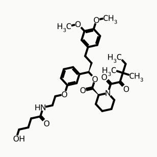 CCC(C)(C)C(=O)C(=O)N1CCCC[C@H]1C(=O)O[C@H](CCc1ccc(OC)c(OC)c1)c1cccc(OCCNC(=O)CCCO)c1